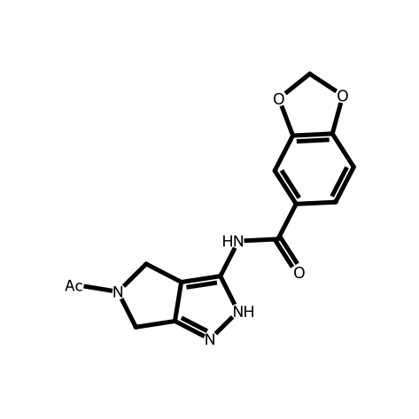 CC(=O)N1Cc2n[nH]c(NC(=O)c3ccc4c(c3)OCO4)c2C1